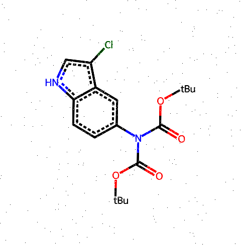 CC(C)(C)OC(=O)N(C(=O)OC(C)(C)C)c1ccc2[nH]cc(Cl)c2c1